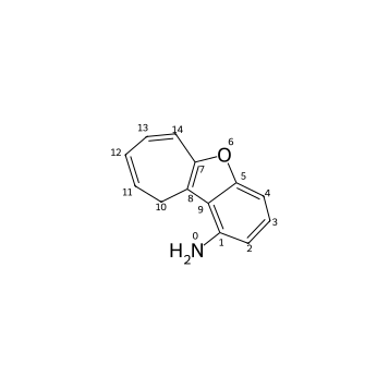 Nc1cccc2oc3c(c12)CC=CC=C3